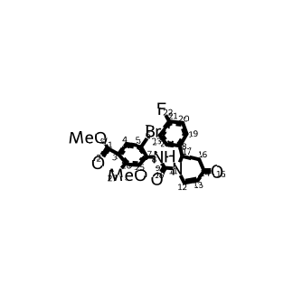 COC(=O)c1cc(Br)c(NC(=O)N2C=CC(=O)CC2c2ccc(F)cc2)cc1OC